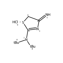 CC(C)(C)N(C1=NC(=N)CS1)C(C)(C)C.Cl